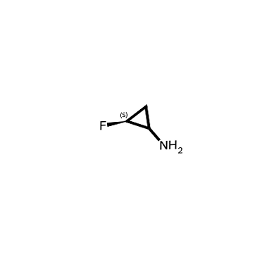 NC1C[C@@H]1F